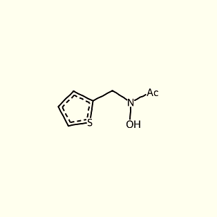 CC(=O)N(O)Cc1cccs1